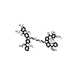 Cc1cc(C)c(C(=O)c2ccc3c(c2)c2cc(/C(=N/O)c4ccccc4C)ccc2n3CCOCCOCCn2c3ccc(C(=O)c4c(C)cc(C)cc4C)cc3c3cc(/C(=N/O)c4ccccc4C)ccc32)c(C)c1